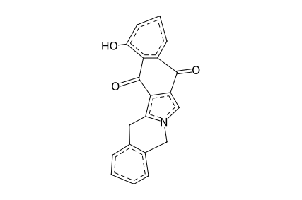 O=C1c2cccc(O)c2C(=O)c2c1cn1c2Cc2ccccc2C1